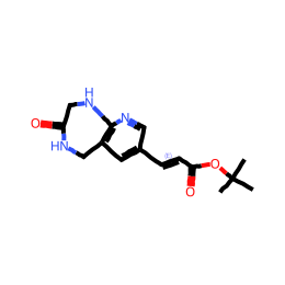 CC(C)(C)OC(=O)/C=C/c1cnc2c(c1)CNC(=O)CN2